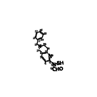 O=CN(S)c1ccc2c(n1)CCN(Cc1ccccc1)C2